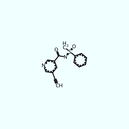 C#Cc1cncc(C(=O)N=S(C)(=O)c2ccccc2)c1